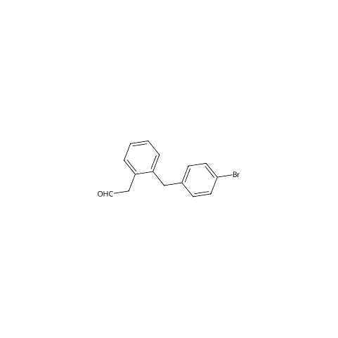 O=CCc1ccccc1Cc1ccc(Br)cc1